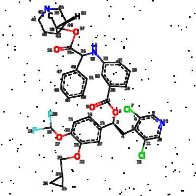 O=C(O[C@@H](Cc1c(Cl)cncc1Cl)c1ccc(OC(F)F)c(OCC2CC2)c1)c1cccc(NC(C(=O)O[C@H]2CN3CCC2CC3)c2ccccc2)c1